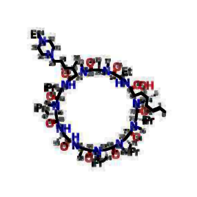 C/C=C/C[C@@H](C)[C@@H](O)[C@H]1C(=O)N[C@@H](CC)C(=O)N(C)[C@H](C)C(=O)N(C)[C@@H]([C@H](C)CCCN2CCN(CC)CC2)C(=O)N[C@@H](C(C)C)C(=O)N(C)[C@@H](CC(C)C)C(=O)N[C@@H](C)C(=O)N[C@H](C)C(=O)N(C)[C@@H](CC(C)C)C(=O)N(C)[C@@H](CC(C)C)C(=O)N(C)[C@@H](C(C)C)C(=O)N1C